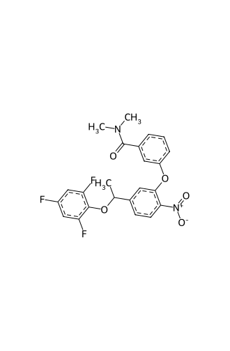 CC(Oc1c(F)cc(F)cc1F)c1ccc([N+](=O)[O-])c(Oc2cccc(C(=O)N(C)C)c2)c1